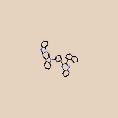 c1cc(-c2nc3ccccc3nc2-c2cccc3ccccc23)cc(-n2c3ccccc3c3cc4nc5ccccc5n4cc32)c1